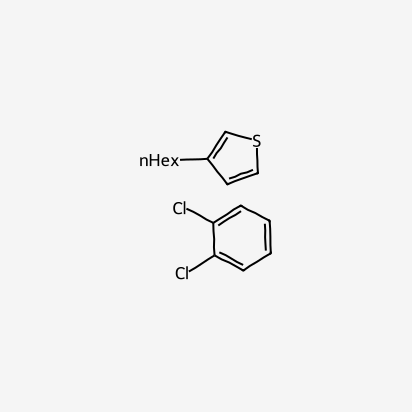 CCCCCCc1ccsc1.Clc1ccccc1Cl